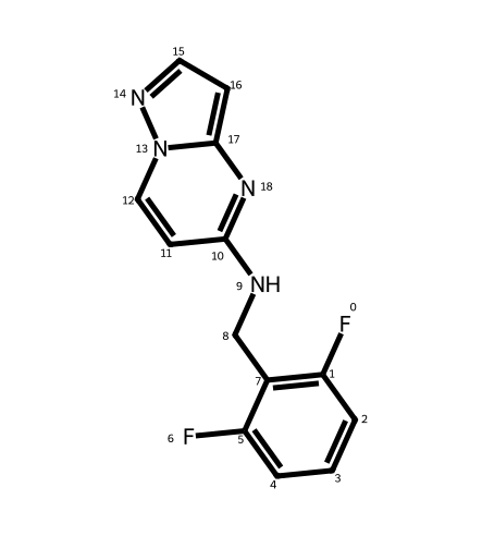 Fc1cccc(F)c1CNc1ccn2nccc2n1